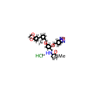 COC(=O)C(CC(C)C)NCc1ccc(OCc2cccc(-c3ccc4c(c3)OCCO4)c2C(F)(F)F)cc1OCc1ccc2nonc2c1.Cl